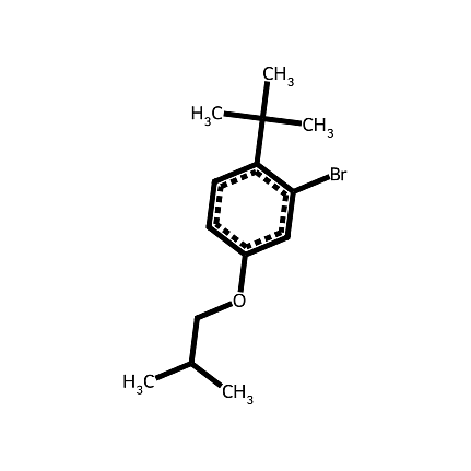 CC(C)COc1ccc(C(C)(C)C)c(Br)c1